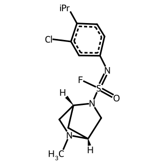 CC(C)c1ccc(N=S(=O)(F)N2C[C@H]3C[C@@H]2CN3C)cc1Cl